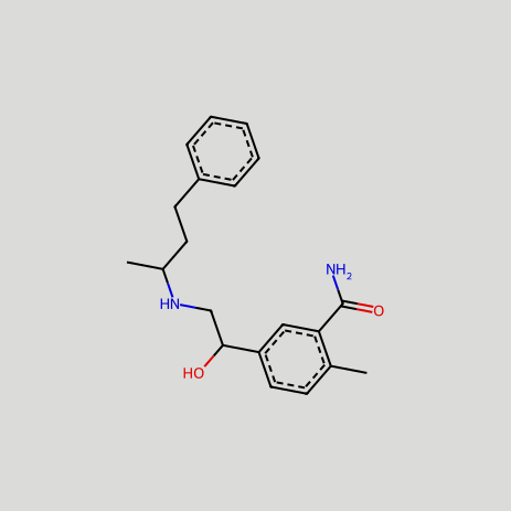 Cc1ccc(C(O)CNC(C)CCc2ccccc2)cc1C(N)=O